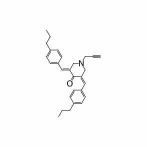 C#CCN1CC(=Cc2ccc(CCC)cc2)C(=O)C(=Cc2ccc(CCC)cc2)C1